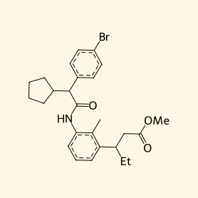 CCC(CC(=O)OC)c1cccc(NC(=O)C(c2ccc(Br)cc2)C2CCCC2)c1C